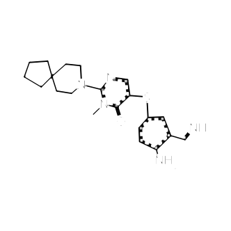 Cn1c(N2CCC3(CCCC3)CC2)ncc(Sc2ccc(N)c(C=N)c2)c1=O